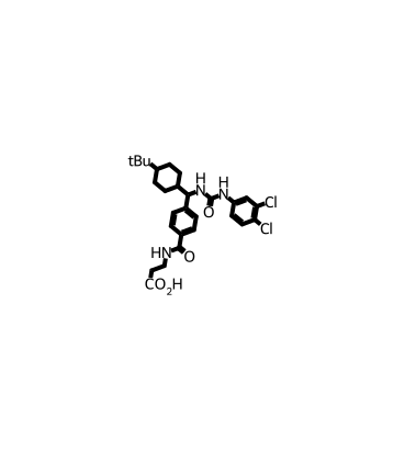 CC(C)(C)C1CCC(C(NC(=O)Nc2ccc(Cl)c(Cl)c2)c2ccc(C(=O)NCCC(=O)O)cc2)CC1